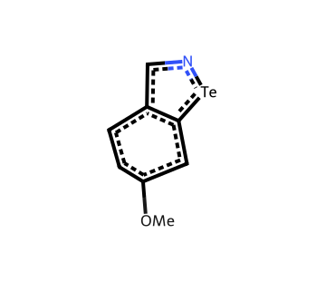 COc1ccc2cn[te]c2c1